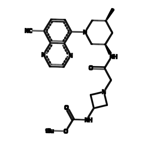 C[C@H]1C[C@@H](NC(=O)CN2CC(NC(=O)OC(C)(C)C)C2)CN(c2ccc(C#N)c3nccnc23)C1